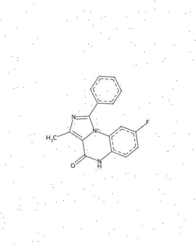 CC1=C2C(=O)Nc3ccc(F)cc3[N+]2C(c2ccccc2)=N1